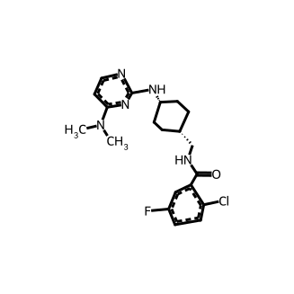 CN(C)c1ccnc(N[C@H]2CC[C@@H](CNC(=O)c3cc(F)ccc3Cl)CC2)n1